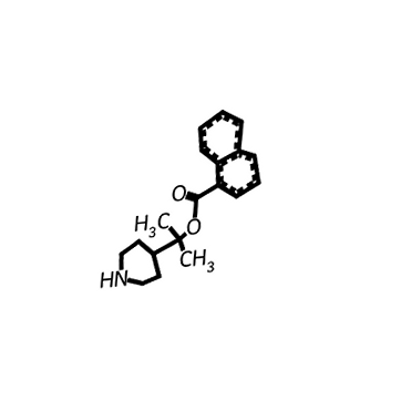 CC(C)(OC(=O)c1cccc2ccccc12)C1CCNCC1